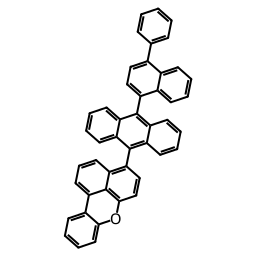 c1ccc(-c2ccc(-c3c4ccccc4c(-c4ccc5c6c(cccc46)-c4ccccc4O5)c4ccccc34)c3ccccc23)cc1